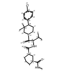 CNC(=O)[C@H]1CCC[C@@H](C(=O)N[C@@H](C(=O)N2CCC(c3ccc(Cl)cc3)C(C)(C)C2)C(C)C)C1